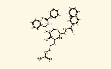 N=C(N)NCCC[C@@H]1N[C@H](CNC(=O)c2ccc3ccccc3c2)CCN(C[C@@H](NC(=O)c2ccccc2)c2ccccc2)C1=O